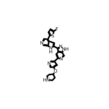 Fc1ccc(-c2cncc3[nH]c(-c4n[nH]c5cnc(-c6cncc(OC7CCNCC7)c6)cc45)cc23)s1